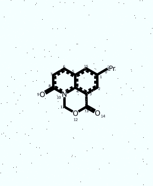 CC(C)c1cc2c3c(ccc(=O)n3COC2=O)c1